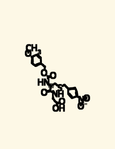 COc1ccc(COC(=O)N[C@@H](CSCc2ccc([N+](=O)[O-])cc2)C(=O)NCC(=O)O)cc1